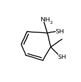 CC1(S)C=CC=CC1(N)S